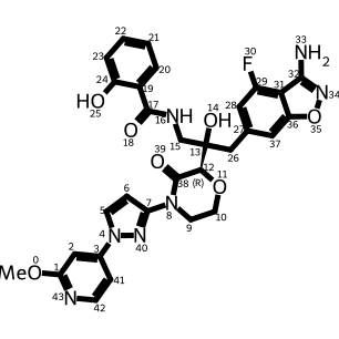 COc1cc(-n2ccc(N3CCO[C@H](C(O)(CNC(=O)c4ccccc4O)Cc4cc(F)c5c(N)noc5c4)C3=O)n2)ccn1